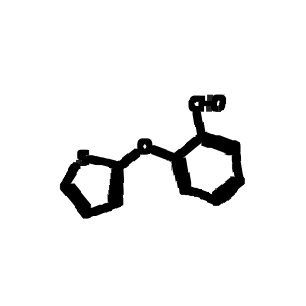 O=Cc1ccccc1Oc1cccs1